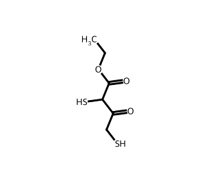 CCOC(=O)C(S)C(=O)CS